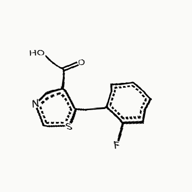 O=C(O)c1ncsc1-c1ccccc1F